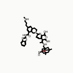 CNCCCc1cc2c(c(C(=O)Nc3nc4ccccc4s3)c1)CN(c1ccc(/C(C=N)=C(\C)NCC34CC5(C)CC(C)(C3)CC(N=O)(C5)C4)c(C(=O)O)n1)CC2